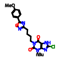 CCCCn1c(=O)n(CCCCc2noc(-c3ccc(OC)cc3)n2)c(=O)c2[nH]c(Cl)nc21